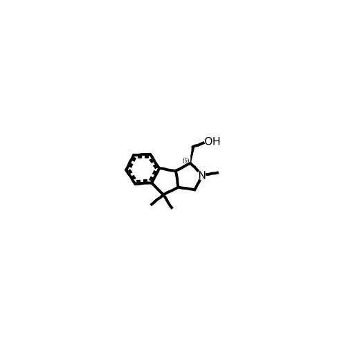 CN1CC2C(c3ccccc3C2(C)C)[C@H]1CO